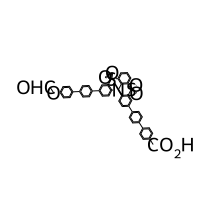 O=COc1ccc(-c2ccc(-c3ccc4c(c3)S(=O)(=O)c3cccc5c3N4c3ccc(-c4ccc(-c6ccc(C(=O)O)cc6)cc4)cc3S5(=O)=O)cc2)cc1